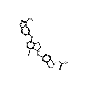 Cn1ncc2ccc(Oc3ccc(F)c4c3CC[C@H]4Oc3ccc4c(c3)OC[C@H]4CC(=O)O)cc21